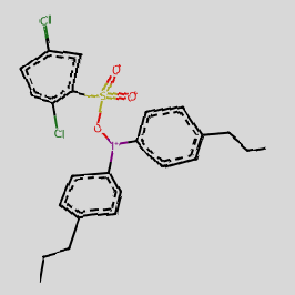 CCCc1ccc([I+](OS(=O)(=O)c2cc(Cl)ccc2Cl)c2ccc(CCC)cc2)cc1